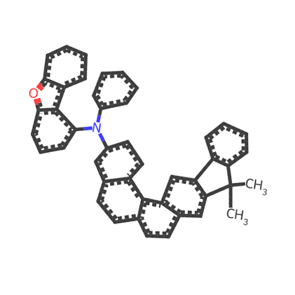 CC1(C)c2ccccc2-c2cc3c(ccc4ccc5cc(N(c6ccccc6)c6cccc7oc8ccccc8c67)ccc5c43)cc21